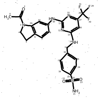 CC(=O)N1CCc2ccc(Nc3nc(NCc4ccc(S(N)(=O)=O)cc4)cc(C(F)(F)F)n3)cc21